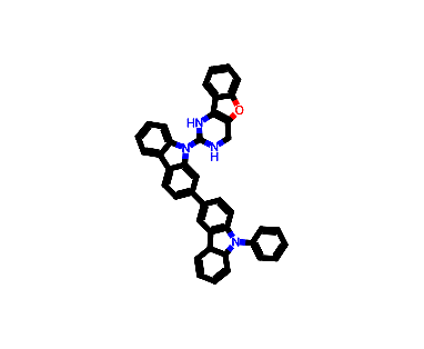 C1=CC2c3cc(-c4ccc5c6ccccc6n(C6NCc7oc8ccccc8c7N6)c5c4)ccc3N(c3ccccc3)C2C=C1